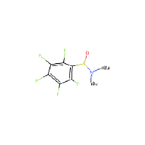 CCCCN(CCCC)[S+]([O-])c1c(F)c(F)c(F)c(F)c1F